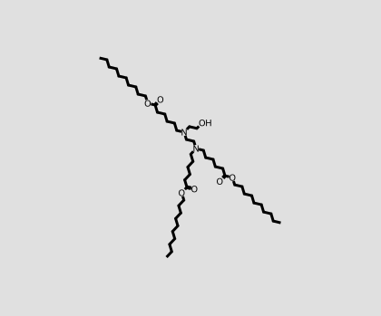 CCCCCCCCCCOC(=O)CCCCCN(CCO)CCN(CCCCCC(=O)OCCCCCCCCCC)CCCCCC(=O)OCCCCCCCCCC